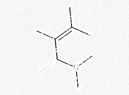 CC(C)=C(C)[C@@H](C)N(C)C